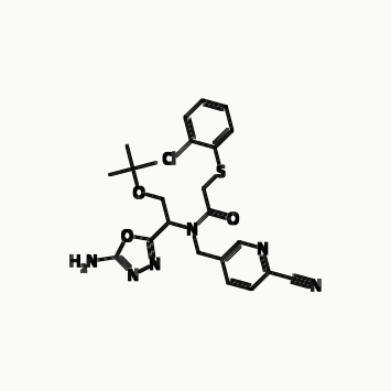 CC(C)(C)OCC(c1nnc(N)o1)N(Cc1ccc(C#N)nc1)C(=O)CSc1ccccc1Cl